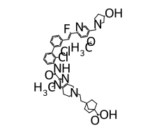 COc1cc(/C(F)=C/c2cccc(-c3cccc(NC(=O)c4nc5c(n4C)CCN(CCC46CCC(C(=O)O)(CC4)C6)C5)c3Cl)c2Cl)ncc1CN1CC[C@H](O)C1